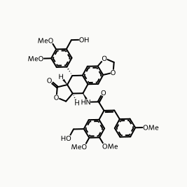 COc1cccc(/C=C(/C(=O)N[C@@H]2c3cc4c(cc3[C@@H](c3cc(CO)c(OC)c(OC)c3)[C@H]3C(=O)OC[C@@H]32)OCO4)c2cc(CO)c(OC)c(OC)c2)c1